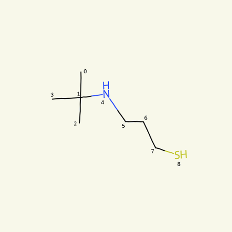 CC(C)(C)NCCCS